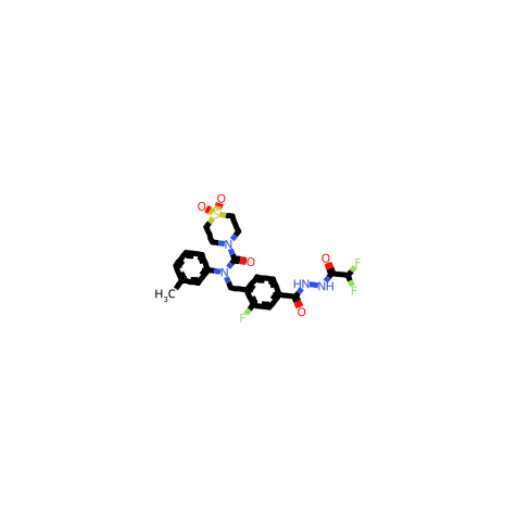 Cc1cccc(N(Cc2ccc(C(=O)NNC(=O)C(F)F)cc2F)C(=O)N2CCS(=O)(=O)CC2)c1